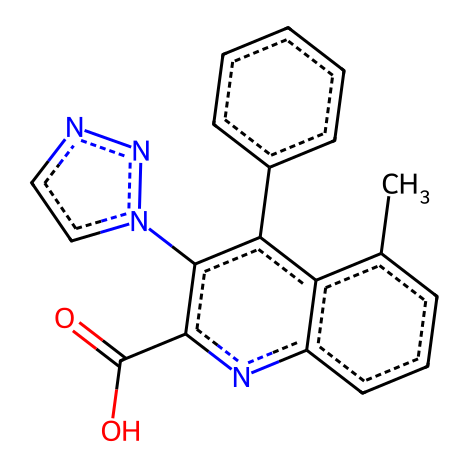 Cc1cccc2nc(C(=O)O)c(-n3ccnn3)c(-c3ccccc3)c12